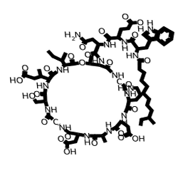 CCC(C)CCCCCCCCC(=O)NC(Cc1c[nH]c2ccccc12)C(=O)NC(CCC(=O)O)C(=O)NC(CC(N)=O)C(=O)NC1C(=O)NCC(=O)NC(CCCN)C(=O)NC(CC(=O)O)C(=O)NC(C)C(=O)NC(CC(=O)O)C(=O)NCC(=O)NC(CO)C(=O)NC(C(C)CC(=O)O)C(=O)NC(C(C)CC)C(=O)OC1C